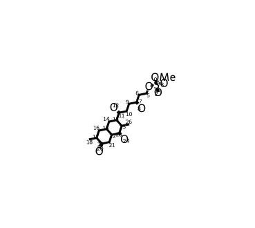 COS(=O)(=O)OCCC(=O)CCC(=O)C1CC2CC(C)C(=O)CC2C(=O)C1C